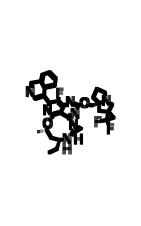 CC[C@H]1C[C@H](C)Oc2nc(-c3cncc4ccccc34)c(F)c3nc(OC[C@@]45CCCN4CC4(CC4(F)F)C5)nc(c23)N2C[C@@H]2N1